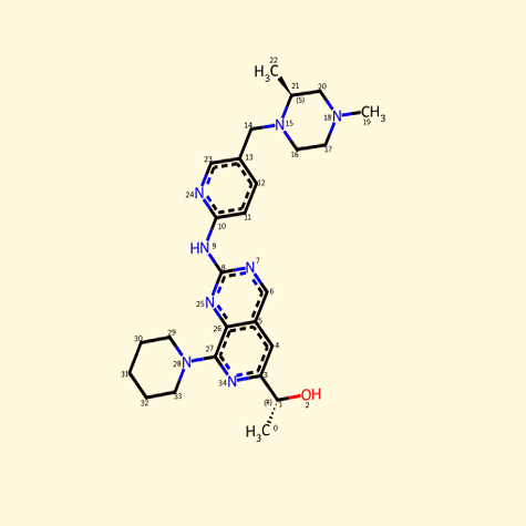 C[C@@H](O)c1cc2cnc(Nc3ccc(CN4CCN(C)C[C@@H]4C)cn3)nc2c(N2CCCCC2)n1